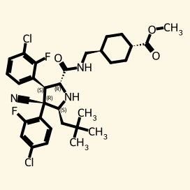 COC(=O)[C@H]1CC[C@H](CNC(=O)[C@@H]2N[C@@H](CC(C)(C)C)[C@](C#N)(c3ccc(Cl)cc3F)[C@H]2c2cccc(Cl)c2F)CC1